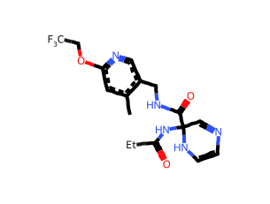 CCC(=O)NC1(C(=O)NCc2cnc(OCC(F)(F)F)cc2C)C=NC=CN1